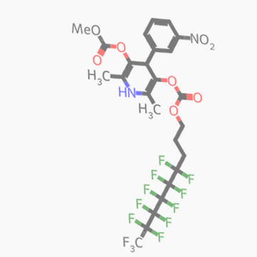 COC(=O)OC1=C(C)NC(C)=C(OC(=O)OCCCC(F)(F)C(F)(F)C(F)(F)C(F)(F)C(F)(F)C(F)(F)F)C1c1cccc([N+](=O)[O-])c1